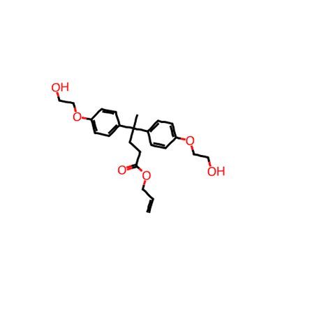 C=CCOC(=O)CCC(C)(c1ccc(OCCO)cc1)c1ccc(OCCO)cc1